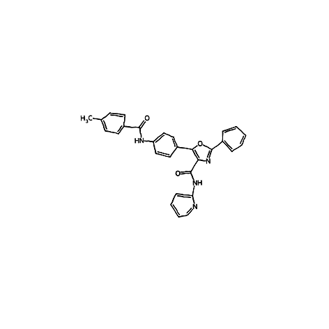 Cc1ccc(C(=O)Nc2ccc(-c3oc(-c4ccccc4)nc3C(=O)Nc3ccccn3)cc2)cc1